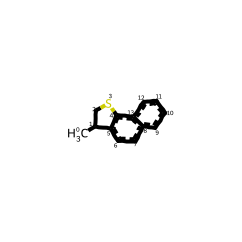 CC1CSc2c1ccc1ccccc21